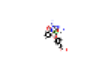 Cl.N=C(N)N(C(=O)c1ccccc1)S(=O)(=O)COc1ccc(CCO)cc1